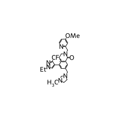 CCn1cc(-c2cc(CN3CCN(C)C3)cc3c2CCN(Cc2cc(OC)ccn2)C3=O)c(C(F)(F)F)n1